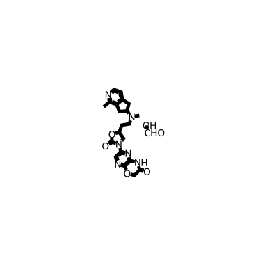 Cc1nccc2c1CC(N(C)CCC1CN(c3cnc4c(n3)NC(=O)CO4)C(=O)O1)C2.O=CO